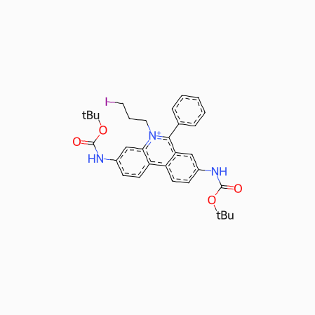 CC(C)(C)OC(=O)Nc1ccc2c(c1)c(-c1ccccc1)[n+](CCCI)c1cc(NC(=O)OC(C)(C)C)ccc21